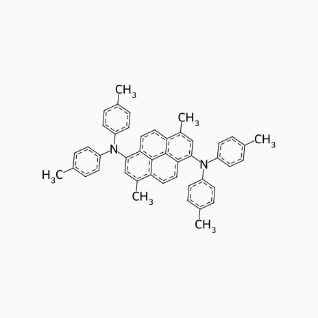 Cc1ccc(N(c2ccc(C)cc2)c2cc(C)c3ccc4c(N(c5ccc(C)cc5)c5ccc(C)cc5)cc(C)c5ccc2c3c54)cc1